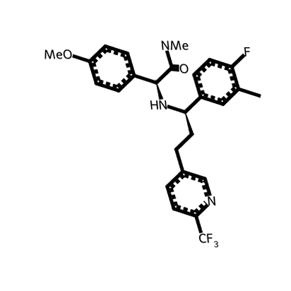 CNC(=O)[C@@H](N[C@H](CCc1ccc(C(F)(F)F)nc1)c1ccc(F)c(C)c1)c1ccc(OC)cc1